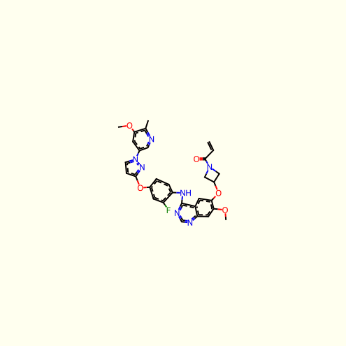 C=CC(=O)N1CC(Oc2cc3c(Nc4ccc(Oc5ccn(-c6cnc(C)c(OC)c6)n5)cc4F)ncnc3cc2OC)C1